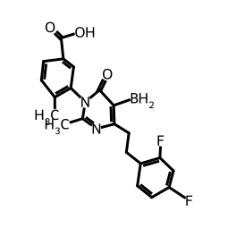 Bc1c(CCc2ccc(F)cc2F)nc(C)n(-c2cc(C(=O)O)ccc2C)c1=O